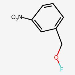 O=[N+]([O-])c1cccc(COF)c1